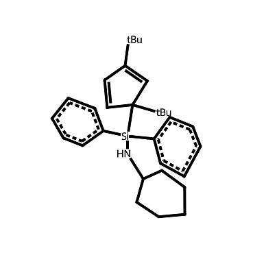 CC(C)(C)C1=CC(C(C)(C)C)([Si](NC2CCCCC2)(c2ccccc2)c2ccccc2)C=C1